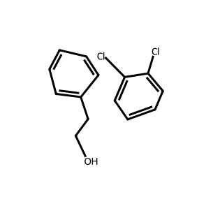 Clc1ccccc1Cl.OCCc1ccccc1